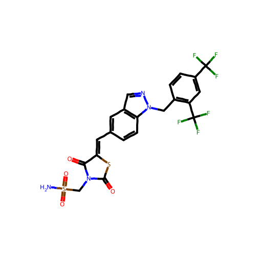 NS(=O)(=O)CN1C(=O)S/C(=C\c2ccc3c(cnn3Cc3ccc(C(F)(F)F)cc3C(F)(F)F)c2)C1=O